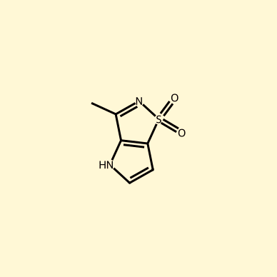 CC1=NS(=O)(=O)c2cc[nH]c21